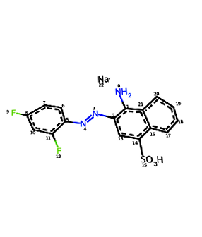 Nc1c(N=Nc2ccc(F)cc2F)cc(S(=O)(=O)O)c2ccccc12.[Na]